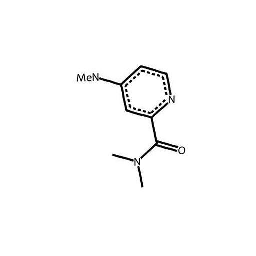 CNc1ccnc(C(=O)N(C)C)c1